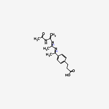 C=C(/N=C(C)/N=C(\C)c1ccc(CCC(=O)O)cc1)NC(C)=O